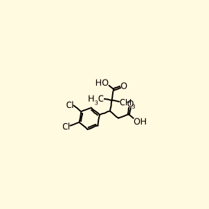 CC(C)(C(=O)O)C(CC(=O)O)c1ccc(Cl)c(Cl)c1